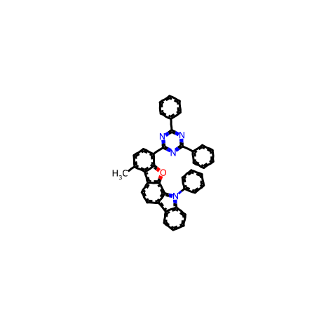 Cc1ccc(-c2nc(-c3ccccc3)nc(-c3ccccc3)n2)c2oc3c(ccc4c5ccccc5n(-c5ccccc5)c43)c12